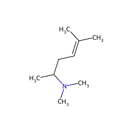 CC(C)=CCC(C)N(C)C